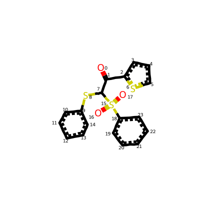 O=C(c1cccs1)C(Sc1ccccc1)S(=O)(=O)c1ccccc1